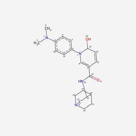 CN(C)c1ccc(N2C=C(C(=O)NC3CN4CCC3CC4)C=CC2O)cc1